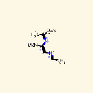 C/C=N/C=C(\N=C(/C)OC)NC